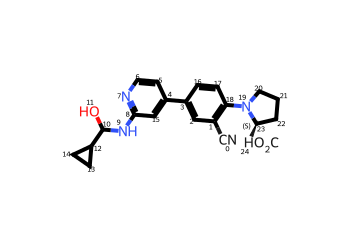 N#Cc1cc(-c2ccnc(NC(O)C3CC3)c2)ccc1N1CCC[C@H]1C(=O)O